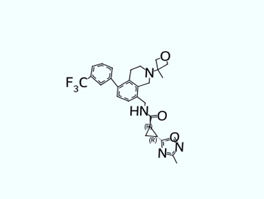 Cc1noc([C@@H]2C[C@H]2C(=O)NCc2ccc(-c3cccc(C(F)(F)F)c3)c3c2CN(C2(C)COC2)CC3)n1